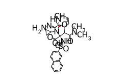 CCC(=O)N(C1CC1)[C@](NS(=O)(=O)c1ccc2ccccc2c1)(C(=O)O)C(C(=O)N(C)C)C1CCCN[C@@H]1C=NN